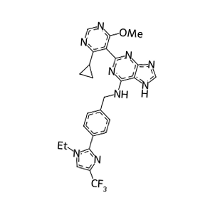 CCn1cc(C(F)(F)F)nc1-c1ccc(CNc2nc(-c3c(OC)ncnc3C3CC3)nc3nc[nH]c23)cc1